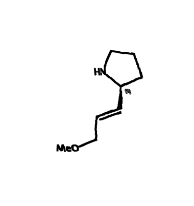 COCC=C[C@@H]1CCCN1